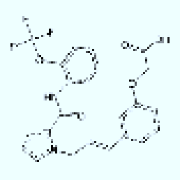 O=C(O)COc1cccc(/C=C/Cn2cccc2C(=O)Nc2ccccc2OC(F)(F)F)c1